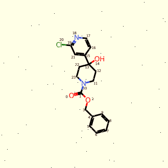 O=C(OCc1ccccc1)N1CCC(O)(c2ccnc(Cl)c2)CC1